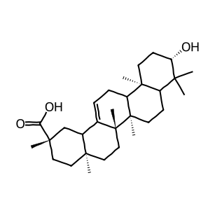 CC1(C)C2CC[C@]3(C)C(CC=C4C5C[C@@](C)(C(=O)O)CC[C@]5(C)CC[C@]43C)[C@@]2(C)CC[C@@H]1O